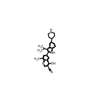 Cc1cc(-c2[nH]c3ccc(C4CCNCC4)cc3c2C(C)C)cc2c(O)c(C#N)cnc12